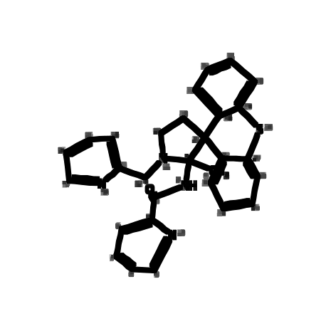 CC1(NC(=O)c2ccccn2)N(Cc2ccccn2)CCC12c1ccccc1Sc1ccccc12